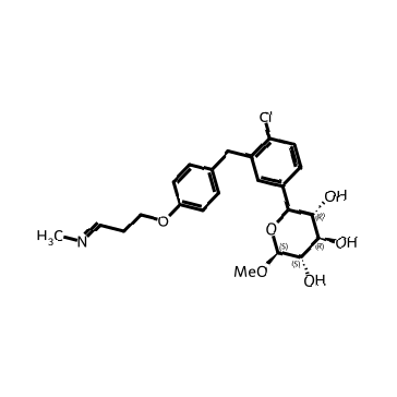 CN=CCCOc1ccc(Cc2cc(C3O[C@H](OC)[C@@H](O)[C@H](O)[C@H]3O)ccc2Cl)cc1